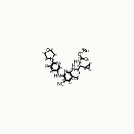 C[C@@H](Nc1nc(Nc2cnc(N3CCOCC3)c(F)c2)c(C#N)cc1F)[C@@H](NC(=O)OC(C)(C)C)C1CC1